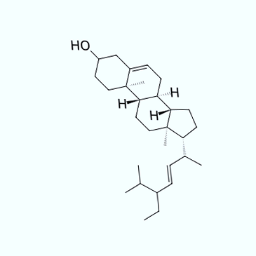 CCC(C=CC(C)[C@H]1CC[C@H]2[C@@H]3CC=C4CC(O)CC[C@]4(C)[C@H]3CC[C@]12C)C(C)C